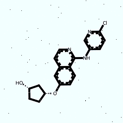 O[C@H]1CC[C@@H](Oc2ccc3c(Nc4ccc(Cl)nc4)nccc3c2)C1